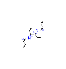 C=C\C=C/N=C(C=C)/C(C=C)=N/C=C\C=C